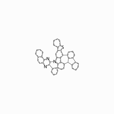 c1ccc(-c2nc3ccc4ccccc4c3nc2-n2c3cccc4c3c3c(c5sc6ccccc6c5cc32)-c2cccc3c2C4c2ccccc2-3)cc1